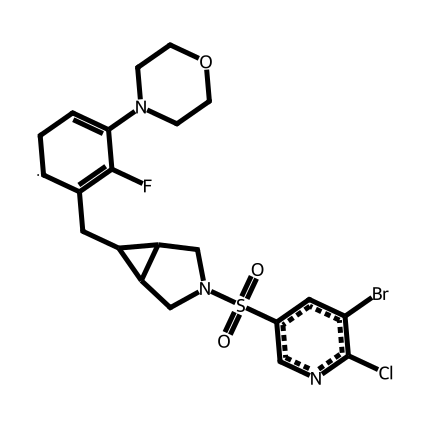 O=S(=O)(c1cnc(Cl)c(Br)c1)N1CC2C(CC3=C(F)C(N4CCOCC4)=CC[CH]3)C2C1